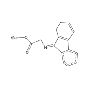 CC(C)(C)OC(=O)C/N=C1\C2=C(C=CCC2)c2ccccc21